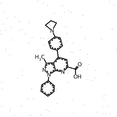 Cc1nn(-c2ccccc2)c2nc(C(=O)O)cc(-c3ccc(N4CCC4)cc3)c12